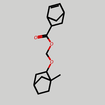 CC12CCC(CC1OCOC(=O)C1CC3C=CC1C3)C2